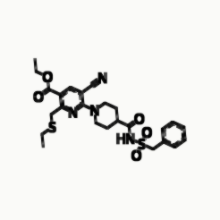 CCOC(=O)c1cc(C#N)c(N2CCC(C(=O)NS(=O)(=O)Cc3ccccc3)CC2)nc1CSCC